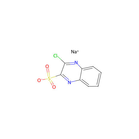 O=S(=O)([O-])c1nc2ccccc2nc1Cl.[Na+]